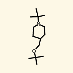 CC(C)(C)OCC1CCN(C(C)(C)C)CC1